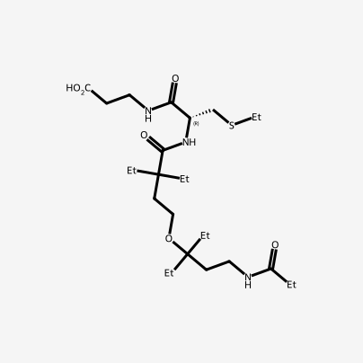 CCSC[C@H](NC(=O)C(CC)(CC)CCOC(CC)(CC)CCNC(=O)CC)C(=O)NCCC(=O)O